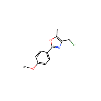 Cc1oc(-c2ccc(OC(C)C)cc2)nc1CCl